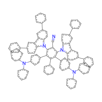 N#Cc1c(-n2c3ccc(-c4ccccc4)cc3c3cc(-c4ccccc4)ccc32)c(-c2ccc(N(c3ccccc3)c3ccccc3)cc2)c(-c2ccccc2)c(-c2ccc(N(c3ccccc3)c3ccccc3)cc2)c1-n1c2ccc(-c3ccccc3)cc2c2cc(-c3ccccc3)ccc21